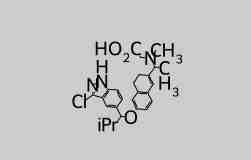 CC(C)C(Oc1ccc2c(c1)CCC(C(C)N(C)CC(=O)O)=C2)c1ccc2[nH]nc(Cl)c2c1